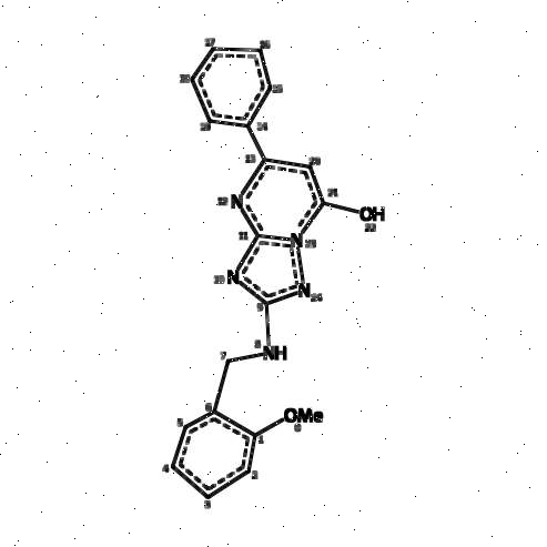 COc1ccccc1CNc1nc2nc(-c3ccccc3)cc(O)n2n1